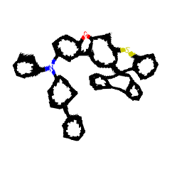 c1ccc(-c2ccc(N(c3ccccc3)c3ccc4oc5cc6c(cc5c4c3)C3(c4ccccc4S6)c4ccccc4-c4ccccc43)cc2)cc1